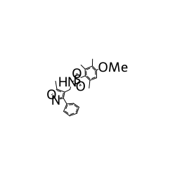 COc1cc(C)c(S(=O)(=O)NCc2c(-c3ccccc3)noc2C)c(C)c1C